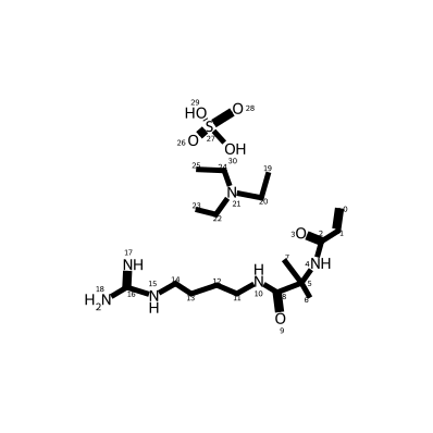 C=CC(=O)NC(C)(C)C(=O)NCCCCNC(=N)N.CCN(CC)CC.O=S(=O)(O)O